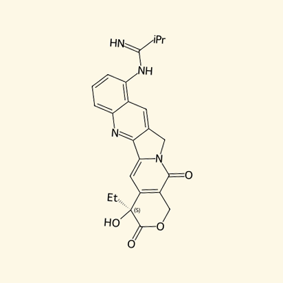 CC[C@@]1(O)C(=O)OCc2c1cc1n(c2=O)Cc2cc3c(NC(=N)C(C)C)cccc3nc2-1